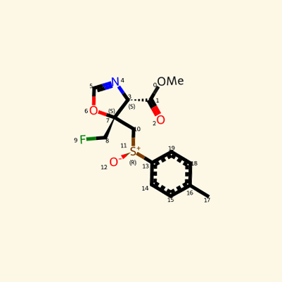 COC(=O)[C@H]1N=CO[C@@]1(CF)C[S@+]([O-])c1ccc(C)cc1